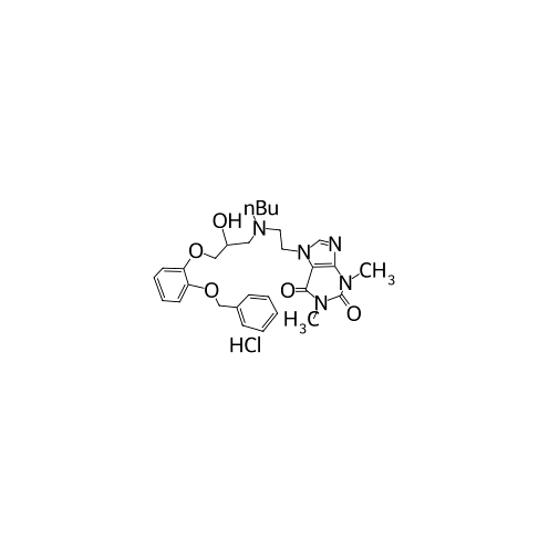 CCCCN(CCn1cnc2c1c(=O)n(C)c(=O)n2C)CC(O)COc1ccccc1OCc1ccccc1.Cl